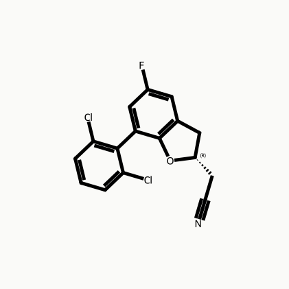 N#CC[C@H]1Cc2cc(F)cc(-c3c(Cl)cccc3Cl)c2O1